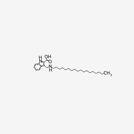 CCCCCCCCCCCCCCCCCCNCc1c(C(=O)O)[nH]c2ccccc12